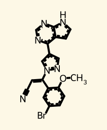 COc1ccc(Br)cc1C(=CC#N)n1cc(-c2ncnc3[nH]ccc23)cn1